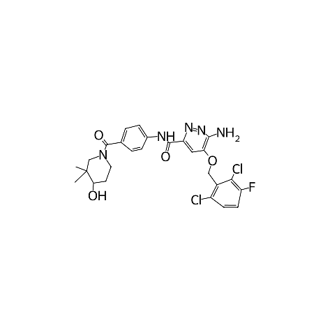 CC1(C)CN(C(=O)c2ccc(NC(=O)c3cc(OCc4c(Cl)ccc(F)c4Cl)c(N)nn3)cc2)CCC1O